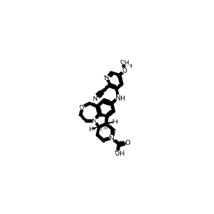 COc1cnc(C#N)c(Nc2cc3c4c(c2)[C@@H]2CN(C(=O)O)CC[C@@H]2N4CCOC3)c1